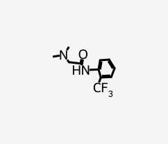 CN(C)CC(=O)Nc1ccccc1C(F)(F)F